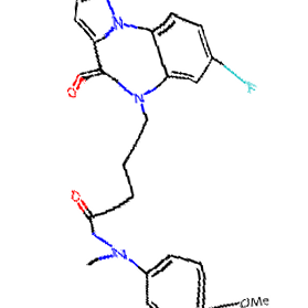 COc1ccc(N(C)C(=O)CCCn2c(=O)c3cccn3c3ccc(F)cc32)cc1